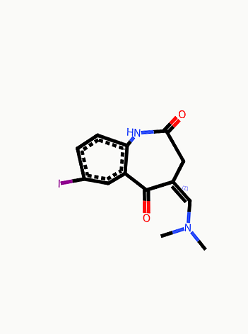 CN(C)/C=C1/CC(=O)Nc2ccc(I)cc2C1=O